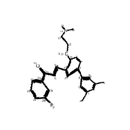 Cc1cc(C)cc(-c2ccc(OCCN(C)C)c(C=CC(=O)c3cccc(Br)c3)c2)c1